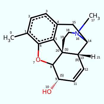 Cc1ccc2c3c1OC1[C@@H](O)C=C[C@H]4C(C2)N(C)CC[C@]314